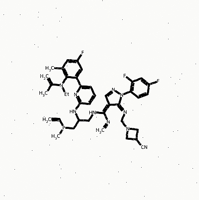 C=CP(C)CC(CN/C(N=C)=C1\C=NN(c2ccc(F)cc2F)\C1=N\CN1CC(C#N)C1)Nc1cccc(-c2cc(F)cc(C)c2N(CC)C(=C)C)n1